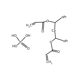 C=CC(=O)O[CH](CCC)[Ca][CH](CCC)OC(=O)C=C.O=P(O)(O)O